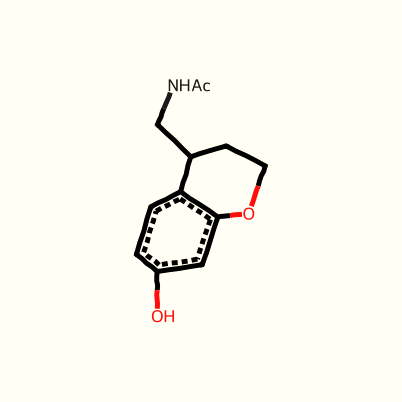 CC(=O)NCC1CCOc2cc(O)ccc21